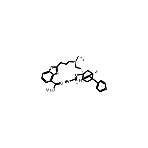 COC(=O)c1cccc2[nH]c(CCCN(C)CC[C@]3(OC(=O)C(C)C)C[C@H]4CC[C@@H]3C=C4c3ccccc3)nc12